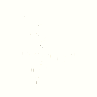 CSCC[C@H](N)C(=O)NCC(=O)NCC(=O)N[C@@H](Cc1ccc(O)cc1)C(=O)N[C@@H](CC(N)=O)C(=O)N1CCC[C@H]1C(=O)O